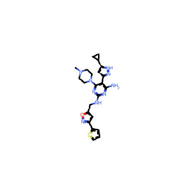 CN1CCN(c2nc(NCc3cc(-c4cccs4)no3)nc(N)c2-c2cc(C3CC3)[nH]n2)CC1